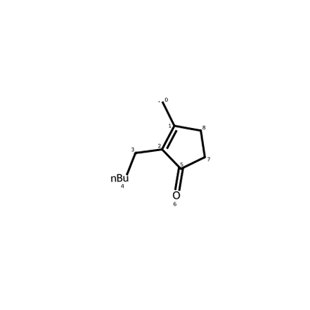 [CH2]C1=C(CCCCC)C(=O)CC1